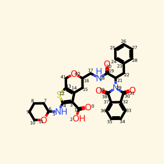 O=C(O)c1c(NC2CCCCO2)sc2c1CC(CNC(=O)C(Cc1ccccc1)N1C(=O)c3ccccc3C1=O)OC2